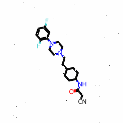 N#CCC(=O)NC1CCC(CCN2CCN(c3cc(F)ccc3F)CC2)CC1